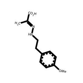 COc1ccc(CCNN=C(C)C(=O)O)cc1